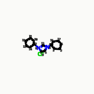 [Cl-].c1ccc(-n2cc[n+](-c3ccccc3)c2)cc1